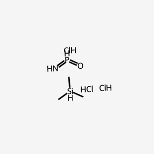 C[SiH](C)C.Cl.Cl.Cl.N=[PH]=O